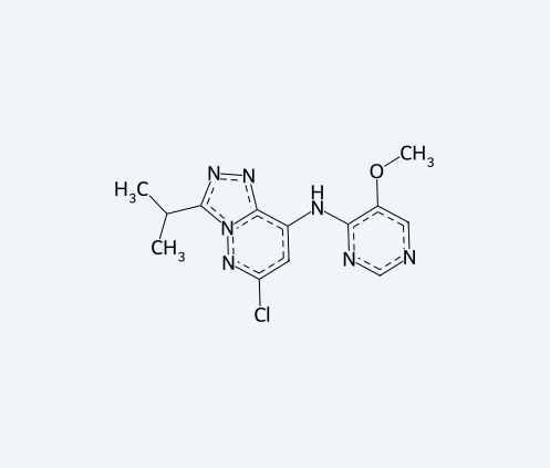 COc1cncnc1Nc1cc(Cl)nn2c(C(C)C)nnc12